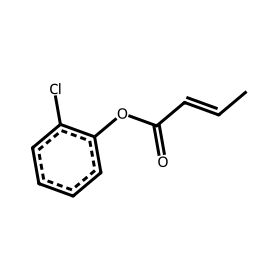 CC=CC(=O)Oc1ccccc1Cl